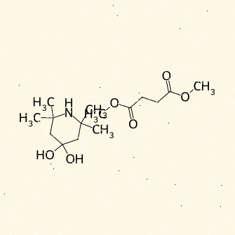 CC1(C)CC(O)(O)CC(C)(C)N1.COC(=O)CCC(=O)OC